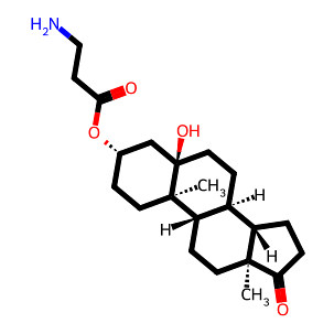 C[C@]12CC[C@H]3[C@@H](CC[C@@]4(O)C[C@@H](OC(=O)CCN)CC[C@]34C)[C@@H]1CCC2=O